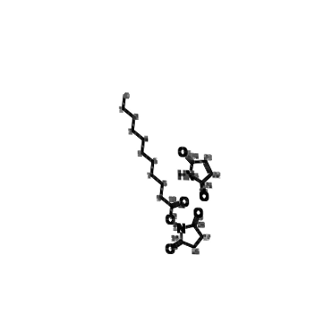 CCCCCCCCCCC(=O)ON1C(=O)CCC1=O.O=C1C=CC(=O)N1